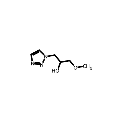 COCC(O)Cn1ccnn1